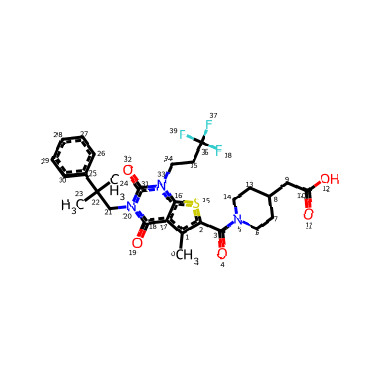 Cc1c(C(=O)N2CCC(CC(=O)O)CC2)sc2c1c(=O)n(CC(C)(C)c1ccccc1)c(=O)n2CCC(F)(F)F